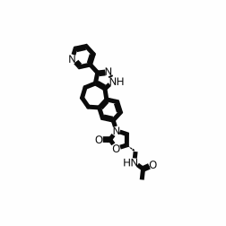 CC(=O)NC[C@H]1CN(c2ccc3c(c2)CCCc2c(-c4cccnc4)n[nH]c2-3)C(=O)O1